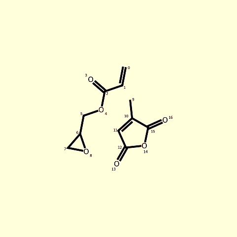 C=CC(=O)OCC1CO1.CC1=CC(=O)OC1=O